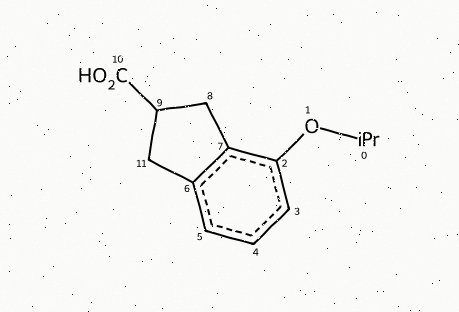 CC(C)Oc1cccc2c1CC(C(=O)O)C2